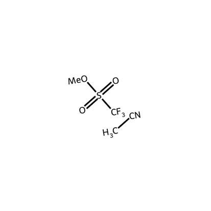 CC#N.COS(=O)(=O)C(F)(F)F